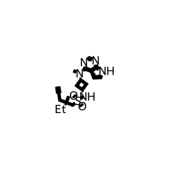 C#CC[C@@](C)(CC)CS(=O)(=O)N[C@H]1C[C@@H](N(C)c2ncnc3[nH]ccc23)C1